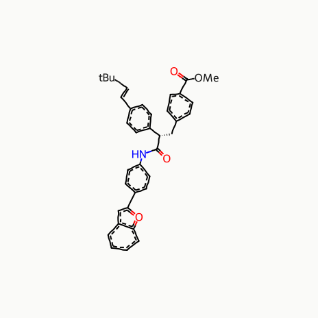 COC(=O)c1ccc(C[C@H](C(=O)Nc2ccc(-c3cc4ccccc4o3)cc2)c2ccc(/C=C/C(C)(C)C)cc2)cc1